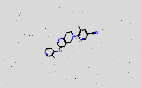 Cc1cc(C#N)cnc1N1CCc2ncc(Nc3ccncc3F)cc2C1